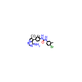 CCOC(=O)c1cn2ncnc(N)c2c1-c1ccc(NC(=O)Nc2ccc(Br)c(C)c2)cc1